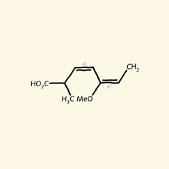 C/C=C(\C=C/C(C)C(=O)O)OC